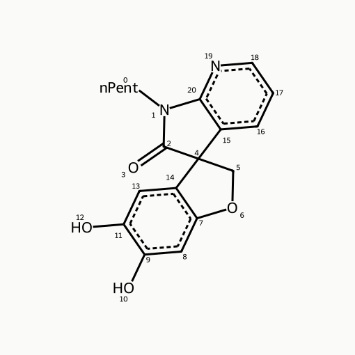 CCCCCN1C(=O)C2(COc3cc(O)c(O)cc32)c2cccnc21